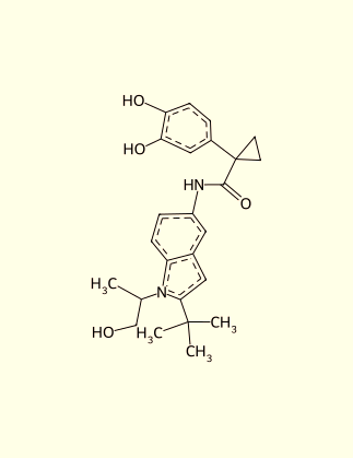 CC(CO)n1c(C(C)(C)C)cc2cc(NC(=O)C3(c4ccc(O)c(O)c4)CC3)ccc21